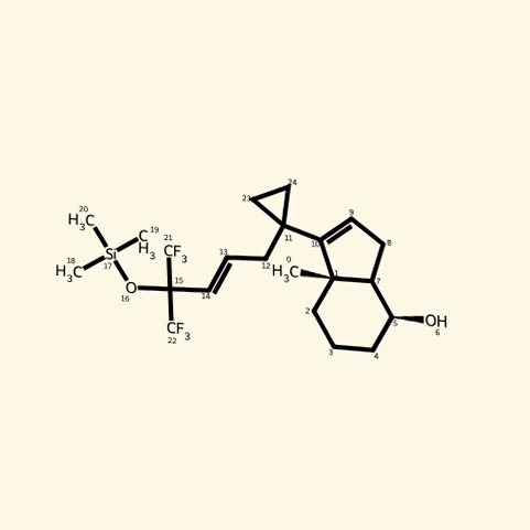 C[C@]12CCC[C@H](O)C1CC=C2C1(C/C=C/C(O[Si](C)(C)C)(C(F)(F)F)C(F)(F)F)CC1